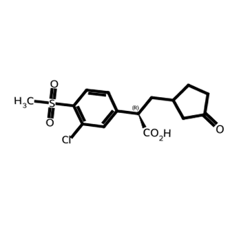 CS(=O)(=O)c1ccc([C@@H](CC2CCC(=O)C2)C(=O)O)cc1Cl